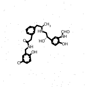 C[C@H](Cc1cccc(CC(=O)NCc2cc(Cl)ccc2O)c1)NC[C@@H](O)c1ccc(O)c(NC=O)c1